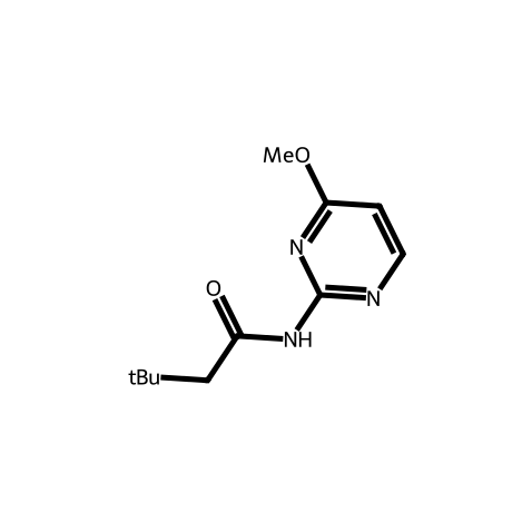 COc1ccnc(NC(=O)CC(C)(C)C)n1